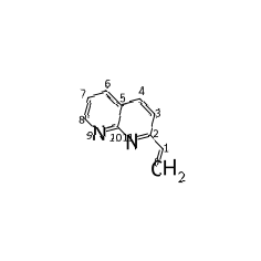 C=Cc1ccc2cccnc2n1